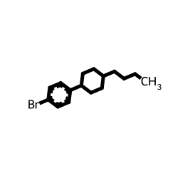 CCCCC1CCC(c2ccc(Br)cc2)CC1